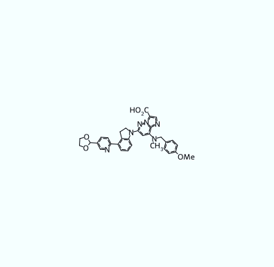 COc1ccc(CN(C)c2cc(N3CCc4c(-c5ccc(C6OCCO6)cn5)cccc43)nn3c(C(=O)O)cnc23)cc1